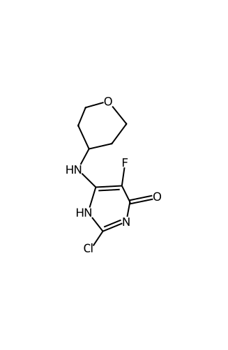 O=c1nc(Cl)[nH]c(NC2CCOCC2)c1F